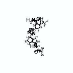 CC(C)Oc1ccc(-c2nc(-c3cccc4c3CC[C@@H]4NCC(=O)N(C)C)no2)cc1C(N)O